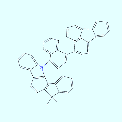 CC1(C)c2ccccc2-c2c1ccc1c3ccccc3n(-c3ccc(-c4ccc5c6c(cccc46)-c4ccccc4-5)c4ccccc34)c21